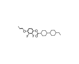 C/C=C/Oc1ccc(OC(=O)C2CCC(C3CCC(CC)CC3)CC2)c(F)c1F